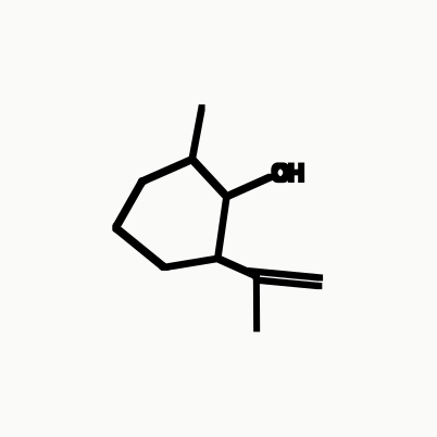 C=C(C)C1CCCC(C)C1O